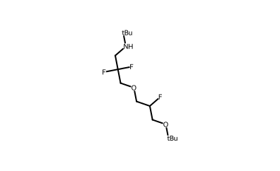 CC(C)(C)NCC(F)(F)COCC(F)COC(C)(C)C